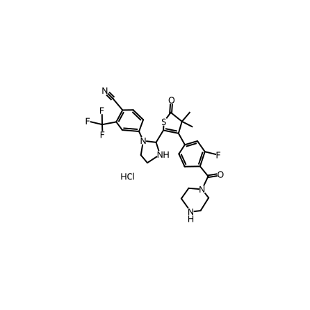 CC1(C)C(=O)SC(C2NCCN2c2ccc(C#N)c(C(F)(F)F)c2)=C1c1ccc(C(=O)N2CCNCC2)c(F)c1.Cl